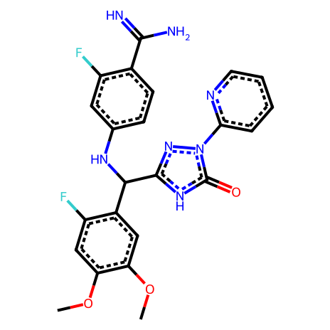 COc1cc(F)c(C(Nc2ccc(C(=N)N)c(F)c2)c2nn(-c3ccccn3)c(=O)[nH]2)cc1OC